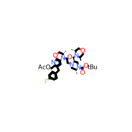 CC(=O)OCc1nc2c(cc1Cc1ccc(F)cc1)N(C(=O)CN1C[C@@H](C)N(C(=O)OC(C)(C)C)C[C@@H]1CN1[C@H](C)COC[C@H]1C)[C@@H](C)CO2